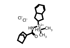 C[SiH](C)[Ti+2]([NH]C(=O)C1CC2CCC1C2)[CH]1CC2C=CC=CC2C1.[Cl-].[Cl-]